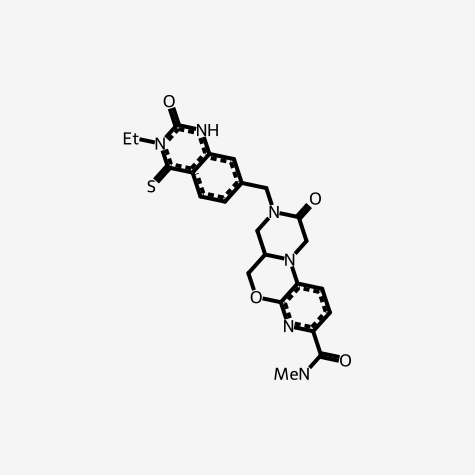 CCn1c(=O)[nH]c2cc(CN3CC4COc5nc(C(=O)NC)ccc5N4CC3=O)ccc2c1=S